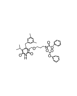 Cc1cc(C)cc(Cc2c(C(C)C)c(=O)[nH]c(=O)n2COCCCN(OC(=O)Oc2ccccc2)C(=O)Oc2ccccc2)c1